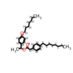 CCCCCCCCc1ccc(CC(=O)OC(C)c2ccc(OCCCCCCC)cc2)cc1